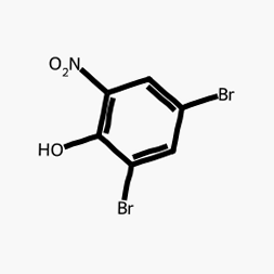 O=[N+]([O-])c1cc(Br)cc(Br)c1O